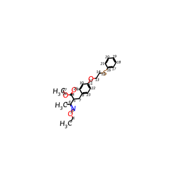 CCON=C(C)C(Cc1ccc(OCCSc2ccccc2)cc1)C(=O)OC